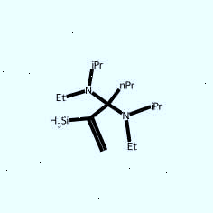 C=C([SiH3])C(CCC)(N(CC)C(C)C)N(CC)C(C)C